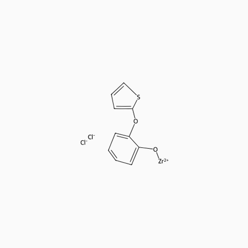 [Cl-].[Cl-].[Zr+2][O]c1ccccc1Oc1cccs1